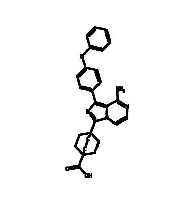 Nc1nccn2c(C34CCC(C(=O)O)(CC3)CC4)nc(-c3ccc(Oc4ccccc4)cc3)c12